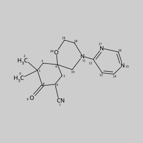 CC1(C)CC2(CC(C#N)C1=O)CN(c1ccncn1)CCO2